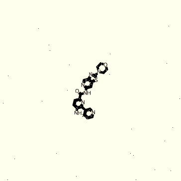 Nc1ccc(C(=O)Nc2cc3sc(N4CCOCC4)nc3cn2)nc1-c1cccnc1